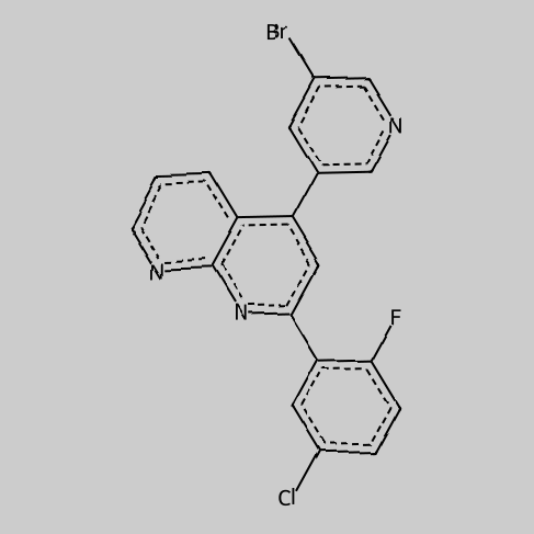 Fc1ccc(Cl)cc1-c1cc(-c2cncc(Br)c2)c2cccnc2n1